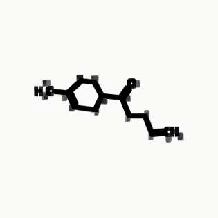 C=CCCC(=O)C1CC=C(C)CC1